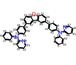 c1ccc(N(c2ccc(-c3ccc4oc5ccc(-c6ccc(N(c7ccccc7)c7ccccn7)cc6)cc5c4c3)cc2)c2ccccn2)cc1